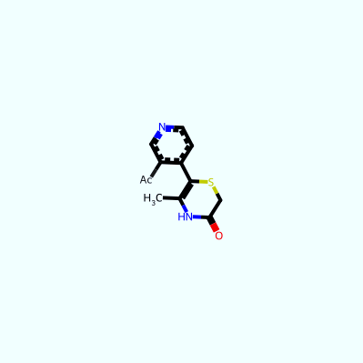 CC(=O)c1cnccc1C1=C(C)NC(=O)CS1